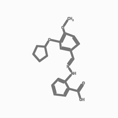 COc1ccc(C=NNc2ccccc2C(=O)O)cc1OC1CCCC1